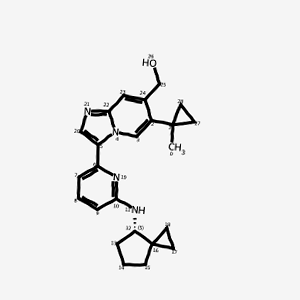 CC1(c2cn3c(-c4cccc(N[C@H]5CCCC56CC6)n4)cnc3cc2CO)CC1